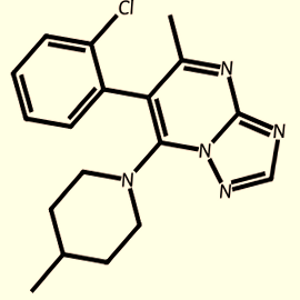 Cc1nc2ncnn2c(N2CCC(C)CC2)c1-c1ccccc1Cl